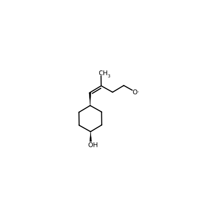 CC(=C[C@H]1CC[C@@H](O)CC1)CC[O]